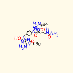 CCCCOc1nc(N)c2nc(O)n(Cc3ccc(NC(=O)[C@H](CCCNC(N)=O)NC(=O)[C@@H](N)C(C)C)cc3)c2n1